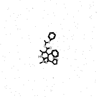 CC1=C(C(=O)OC(C)Sc2ccccc2)C(c2ccccc2[N+](=O)[O-])c2c(C3CCCC3)nn(C)c2N1